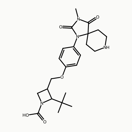 CN1C(=O)N(c2ccc(OCC3CN(C(=O)O)C3C(C)(C)C)cc2)C2(CCNCC2)C1=O